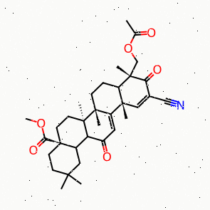 COC(=O)[C@]12CCC(C)(C)CC1C1C(=O)C=C3[C@@]4(C)C=C(C#N)C(=O)[C@@](C)(COC(C)=O)C4CC[C@@]3(C)[C@]1(C)CC2